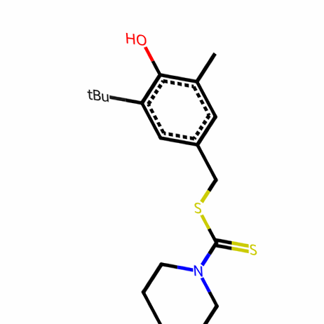 Cc1cc(CSC(=S)N2CCCCC2)cc(C(C)(C)C)c1O